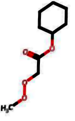 COOCC(=O)OC1CCCCC1